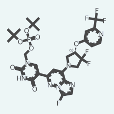 CC(C)(C)OP(=O)(OCn1cc(-c2cc(N3C[C@H](Oc4ccnc(C(F)(F)F)c4)C(F)(F)C3)c3ncc(F)n3n2)c(=O)[nH]c1=O)OC(C)(C)C